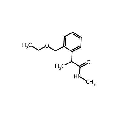 CCOCc1ccccc1C(C)C(=O)NC